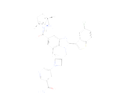 COc1cc(C(=O)N2C[C@H]3CC[C@@H]2[C@@H]3N)cc2nc(-c3csc4ccc(Cl)cc34)n(CC3CN(c4cncc(C(N)=O)c4)C3)c12